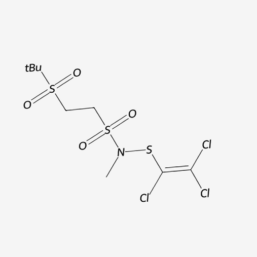 CN(SC(Cl)=C(Cl)Cl)S(=O)(=O)CCS(=O)(=O)C(C)(C)C